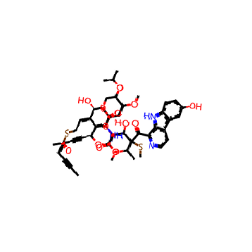 CC#C/C=C\C#C[C@H](OC1OC(C)C(SC)(C(=O)c2nccc3c2[nH]c2ccc(O)cc23)C(O)C1OC1CC(OC)C(OC(C)C)CO1)C1=C(NC(=O)OC)C(=O)C[C@H](O)/C1=C/CSC(C)=O